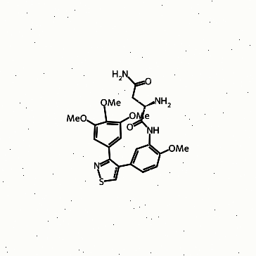 COc1ccc(-c2csnc2-c2cc(OC)c(OC)c(OC)c2)cc1NC(=O)[C@H](N)CC(N)=O